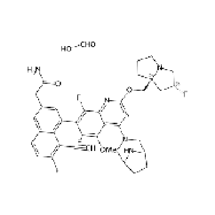 C#Cc1c(F)ccc2cc(CC(N)=O)cc(-c3c(F)c(OC)c4c(N5CC6CCC(C5)N6)nc(OC[C@@]56CCCN5C[C@H](F)C6)nc4c3F)c12.O=CO